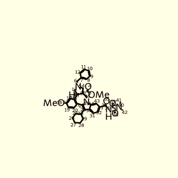 COC(=O)[C@@]12CN(Cc3ccccc3)C[C@@H]1c1cc(OC)ccc1-c1c(C3CCCCC3)c3ccc(C(=O)NS(=O)(=O)N(C)C)cc3n1C2